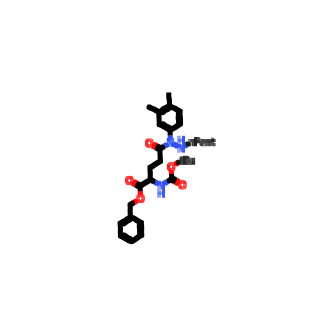 CCCCCNN(C(=O)CCC(NC(=O)OC(C)(C)C)C(=O)OCc1ccccc1)c1ccc(C)c(C)c1